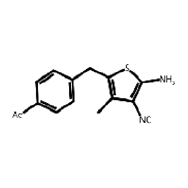 [C-]#[N+]c1c(N)sc(Cc2ccc(C(C)=O)cc2)c1C